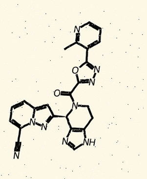 Cc1ncccc1-c1nnc(C(=O)N2CCc3[nH]cnc3[C@H]2c2cc3cccc(C#N)n3n2)o1